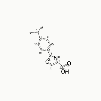 CC(C)c1ccc(-c2nc(C(=O)O)co2)cc1